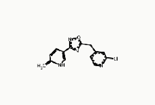 C=C1C=CC(c2noc(Cc3ccnc(Cl)c3)n2)=CN1